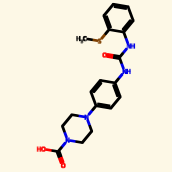 CSc1ccccc1NC(=O)Nc1ccc(N2CCN(C(=O)O)CC2)cc1